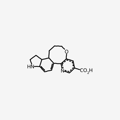 O=C(O)c1cnc2c(c1)OCCCC1C2=CC=C2NCCC21